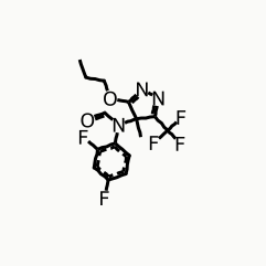 CCCOC1=NN=C(C(F)(F)F)C1(C)N(C=O)c1ccc(F)cc1F